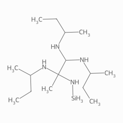 CCC(C)NC(NC(C)CC)C(C)(N[SiH3])NC(C)CC